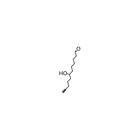 C#CCCCC(O)CCCCCC=O